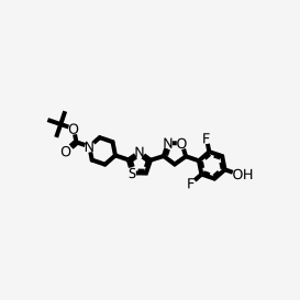 CC(C)(C)OC(=O)N1CCC(c2nc(C3=NOC(c4c(F)cc(O)cc4F)C3)cs2)CC1